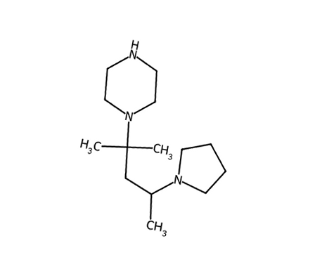 CC(CC(C)(C)N1CCNCC1)N1CCCC1